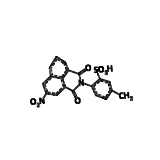 Cc1ccc(N2C(=O)c3cccc4cc([N+](=O)[O-])cc(c34)C2=O)c(S(=O)(=O)O)c1